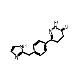 O=C1CCC(c2ccc(Cc3ncc[nH]3)cc2)=NN1